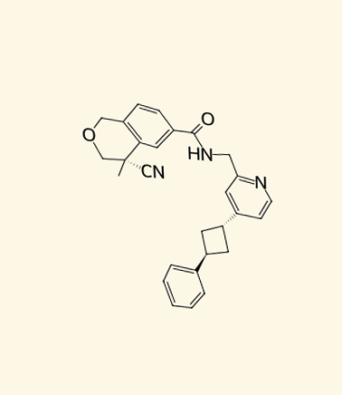 C[C@@]1(C#N)COCc2ccc(C(=O)NCc3cc([C@H]4C[C@H](c5ccccc5)C4)ccn3)cc21